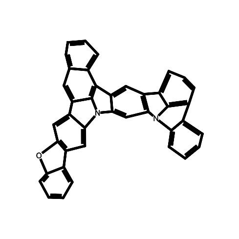 c1ccc2c(c1)cc1c3cc4oc5ccccc5c4cc3n3c4cc5c(cc4c2c13)c1cccc2c3ccccc3n5c21